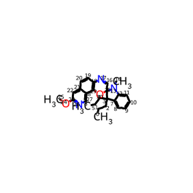 CCCC1(CCC)c2ccccc2N(C)C12C=Nc1ccc3cc(OC)ncc3c1O2